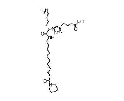 NCCCC[C@@H](C(=O)NCCCCCCCCCCC(=O)N1CCCCC1)n1cc(CCCC(=O)O)nn1